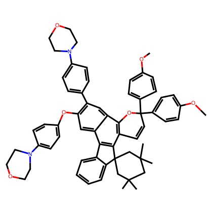 COc1ccc(C2(c3ccc(OC)cc3)C=Cc3c4c(c5cc(Oc6ccc(N7CCOCC7)cc6)c(-c6ccc(N7CCOCC7)cc6)cc5c3O2)-c2ccccc2C42CC(C)(C)CC(C)(C)C2)cc1